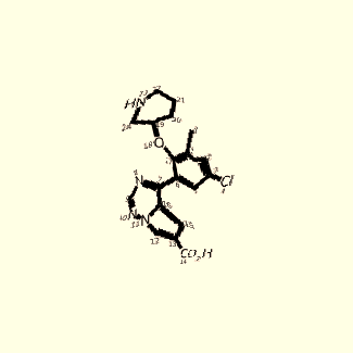 Cc1cc(Cl)cc(-c2ncnn3cc(C(=O)O)cc23)c1OC1CCCNC1